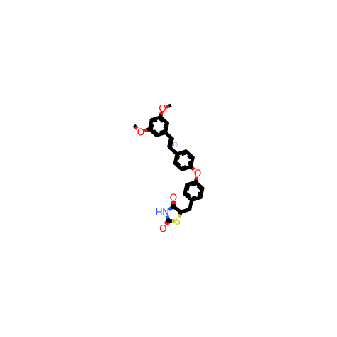 COc1cc(/C=C/c2ccc(Oc3ccc(CC4SC(=O)NC4=O)cc3)cc2)cc(OC)c1